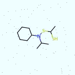 CC(S)SN(C(C)C)C1CCCCC1